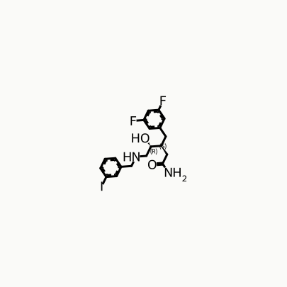 NC(=O)C[C@H](Cc1cc(F)cc(F)c1)[C@@H](O)CNCc1cccc(I)c1